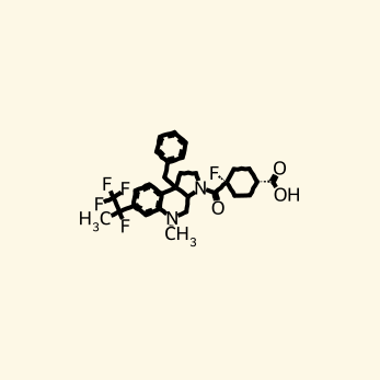 CN1CC2N(C(=O)[C@]3(F)CC[C@@H](C(=O)O)CC3)CCC2(Cc2ccccc2)c2ccc(C(C)(F)C(F)(F)F)cc21